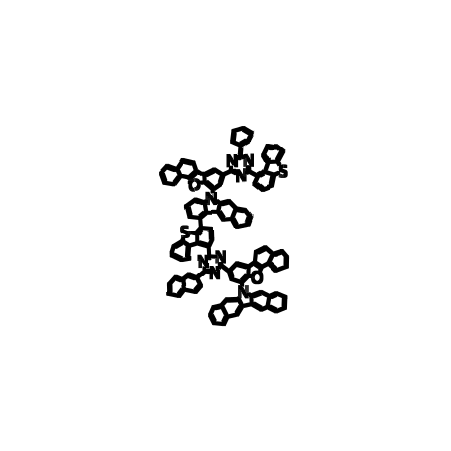 c1ccc(-c2nc(-c3cc(-n4c5cc6ccccc6cc5c5c(-c6ccc(-c7nc(-c8ccc9ccccc9c8)nc(-c8cc(-n9c%10cc%11ccccc%11cc%10c%10cc%11ccccc%11cc%109)c9oc%10c%11ccccc%11ccc%10c9c8)n7)c7c6sc6ccccc67)cccc54)c4oc5c6ccccc6ccc5c4c3)nc(-c3cccc4sc5ccccc5c34)n2)cc1